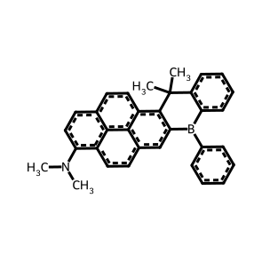 CN(C)c1ccc2ccc3c4c(cc5ccc1c2c53)B(c1ccccc1)c1ccccc1C4(C)C